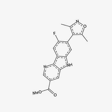 COC(=O)c1cnc2c(c1)[nH]c1cc(-c3c(C)noc3C)c(F)cc12